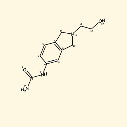 NC(=O)Nc1ccc2c(c1)CN(CCO)C2